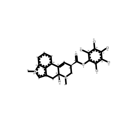 CN1C[C@H](C(=O)Oc2c(Cl)c(Cl)c(Cl)c(Cl)c2Cl)C=C2c3cccc4c3c(cn4C)C[C@H]21